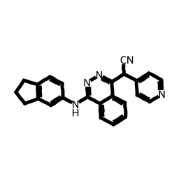 N#CC(c1ccncc1)c1nnc(Nc2ccc3c(c2)CCC3)c2ccccc12